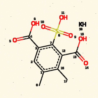 Cc1cc(C(=O)O)c(S(=O)(=O)O)c(C(=O)O)c1C.[KH]